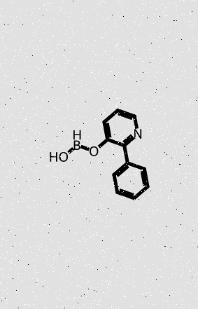 OBOc1cccnc1-c1ccccc1